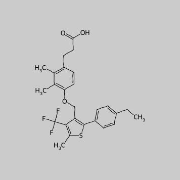 CCc1ccc(-c2sc(C)c(C(F)(F)F)c2COc2ccc(CCC(=O)O)c(C)c2C)cc1